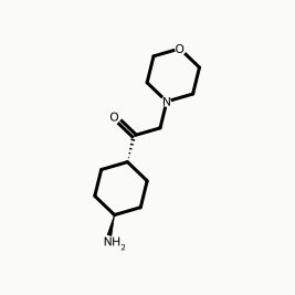 N[C@H]1CC[C@H](C(=O)CN2CCOCC2)CC1